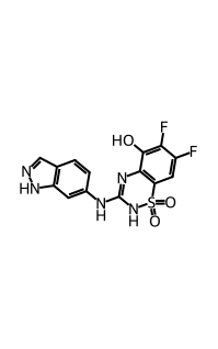 O=S1(=O)NC(Nc2ccc3cn[nH]c3c2)=Nc2c1cc(F)c(F)c2O